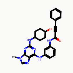 CC(C)n1cnc2c(Nc3cccc(NC(=O)C#Cc4ccccc4)c3)nc(NC3CCC(O)CC3)nc21